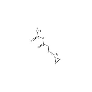 C1CC1.CCCC(=O)CC(=O)O